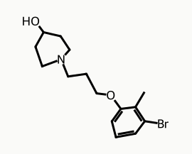 Cc1c(Br)cccc1OCCCN1CCC(O)CC1